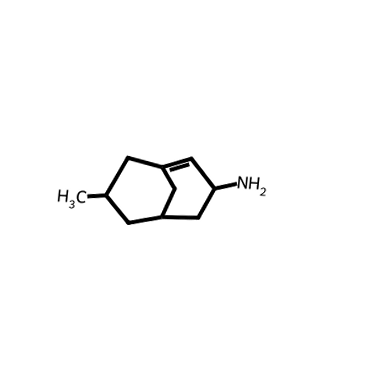 CC1CC2=CC(N)CC(C2)C1